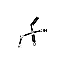 C=CP(=O)(O)OCC